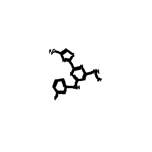 CC(C)Nc1cc(Nc2cccc(F)c2)nc(-c2nc(C(F)(F)F)cs2)n1